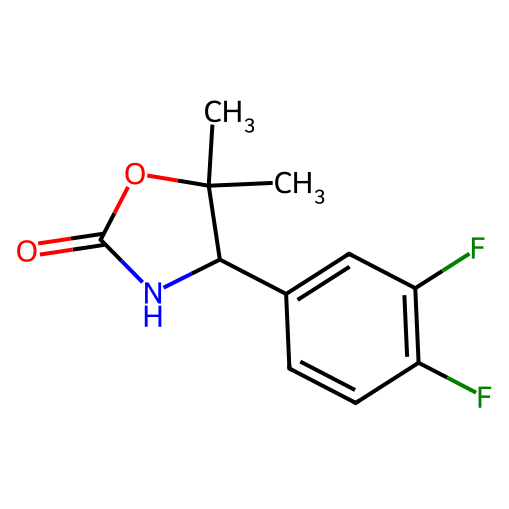 CC1(C)OC(=O)NC1c1ccc(F)c(F)c1